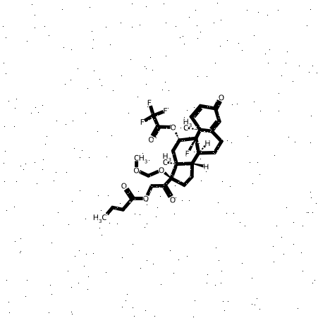 CCCC(=O)OCC(=O)[C@@]1(OCOC)CC[C@H]2[C@@H]3CCC4=CC(=O)C=C[C@]4(C)[C@@]3(F)[C@@H](OC(=O)C(F)(F)F)C[C@@]21C